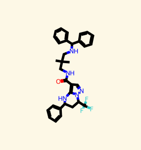 CC(C)(CNC(=O)c1cnn2c1NC(c1ccccc1)CC2C(F)(F)F)CNC(c1ccccc1)c1ccccc1